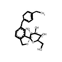 CCC1=CC=C(Cc2ccc3c(c2)[C@]2(OC3)OC(CO)[C@@H](O)[C@H](O)[C@H]2O)CC1